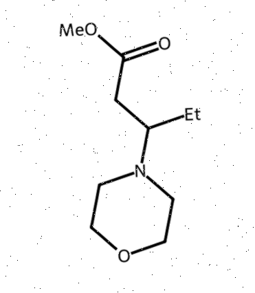 CCC(CC(=O)OC)N1CCOCC1